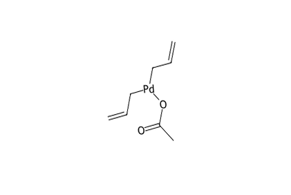 C=C[CH2][Pd]([CH2]C=C)[O]C(C)=O